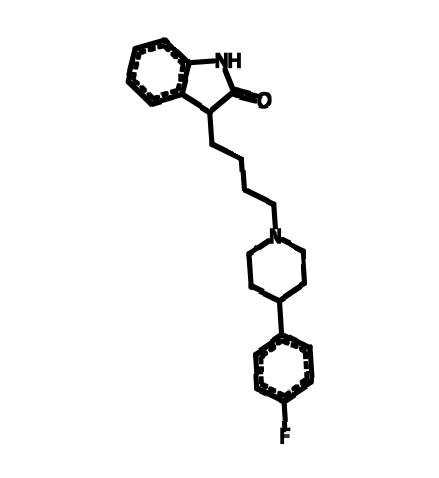 O=C1Nc2ccccc2C1CCCCN1CCC(c2ccc(F)cc2)CC1